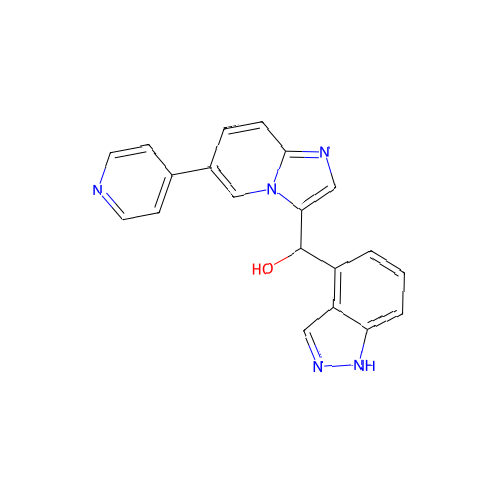 OC(c1cccc2[nH]ncc12)c1cnc2ccc(-c3ccncc3)cn12